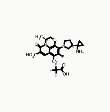 C[C@H]1COc2c(N3CC[C@@H](C4(N)CC4)C3)c(F)c(C#N)c3cc(C(=O)O)c(=O)n1c23.O=C(O)C(F)(F)F